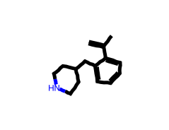 C=C(C)c1ccccc1CC1CCNCC1